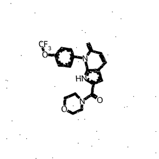 C=C1C=Cc2cc(C(=O)N3CCOCC3)[nH]c2N1c1ccc(OC(F)(F)F)cc1